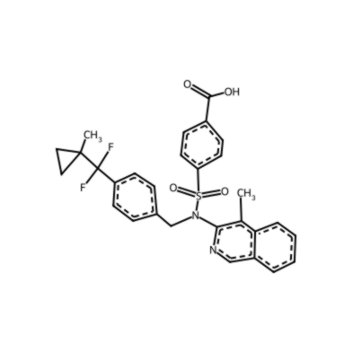 Cc1c(N(Cc2ccc(C(F)(F)C3(C)CC3)cc2)S(=O)(=O)c2ccc(C(=O)O)cc2)ncc2ccccc12